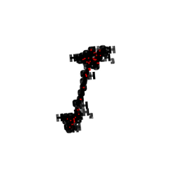 COCC[N+]1=C(/C=C/C=C2/N(CCCCCC(=O)NCCOCCOCCOCCOCCC(=O)NCCCc3cn([C@@H]4O[C@H](COP(=O)(O)O)C(OP(=O)(O)O)[C@@H]4O)c(=O)nc3N)c3ccc(S(=O)(=O)O)cc3C2(C)CCCS(=O)(=O)O)C(C)(CCCS(=O)(=O)O)c2cc(S(=O)(=O)O)ccc21